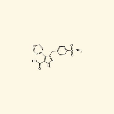 NS(=O)(=O)c1ccc(Cc2n[nH]c(C(=O)O)c2-c2ccncc2)cc1